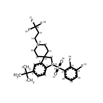 CC(C)(C)c1ccc2c(c1)C1(CCN(CCC(F)(F)F)CC1)CN2S(=O)(=O)c1cccc(F)c1F